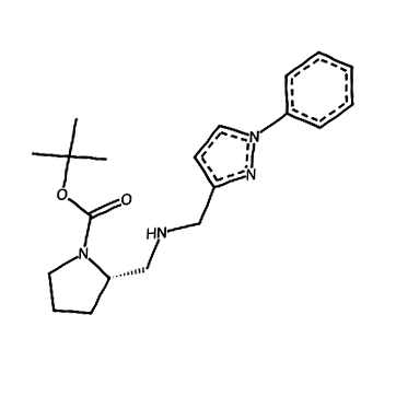 CC(C)(C)OC(=O)N1CCC[C@H]1CNCc1ccn(-c2ccccc2)n1